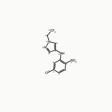 O=[N+]([O-])c1ccc(Cl)cc1Nc1cnn(CC(F)(F)F)c1